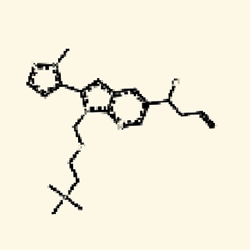 C=CCC(O)c1cnc2c(c1)cc(-c1ccnn1C)n2COCC[Si](C)(C)C